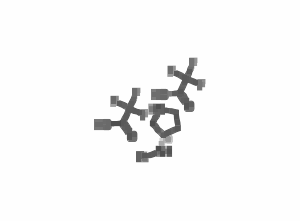 CCN[C@H]1CCNC1.O=C(O)C(F)(F)F.O=C(O)C(F)(F)F